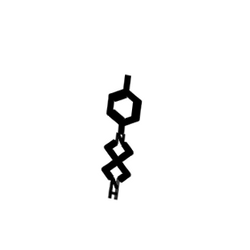 Cc1ccc(N2CC3(CNC3)C2)cc1